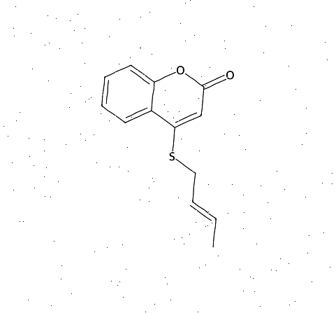 CC=CCSc1cc(=O)oc2ccccc12